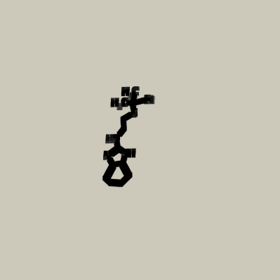 CCC(C)(C)SCCNc1nc2ccccc2[nH]1